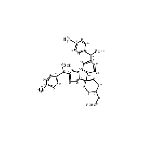 CCCCCCCCCCCC1CCC(c2ccc(C(CCCCCCCC)c3ccc(N)cc3)cc2)(c2ccc(C(CCCCCCCC)c3ccc(N)cc3)cc2)CC1